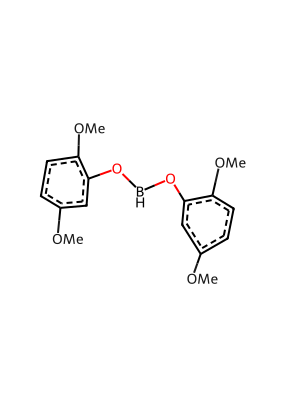 COc1ccc(OC)c(OBOc2cc(OC)ccc2OC)c1